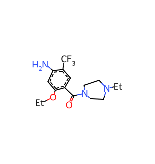 CCOc1cc(N)c(C(F)(F)F)cc1C(=O)N1CCN(CC)CC1